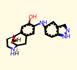 Oc1cc2c(cc1Nc1ccc3[nH]ncc3c1)C[C@H]1NCC[C@@]23CCCC[C@@H]13